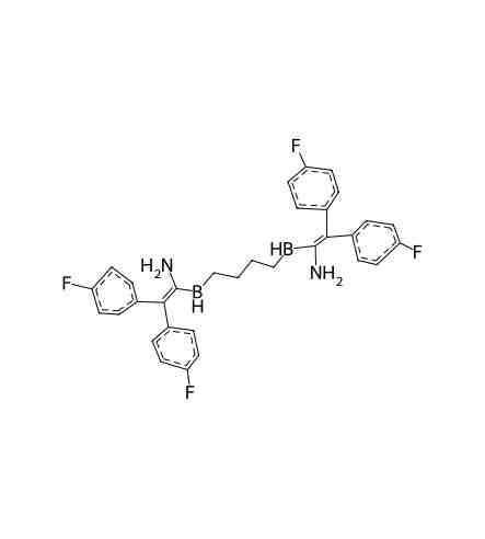 NC(BCCCCBC(N)=C(c1ccc(F)cc1)c1ccc(F)cc1)=C(c1ccc(F)cc1)c1ccc(F)cc1